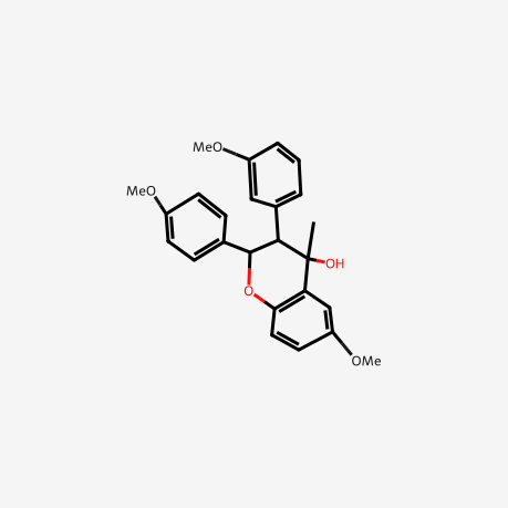 COc1ccc(C2Oc3ccc(OC)cc3C(C)(O)C2c2cccc(OC)c2)cc1